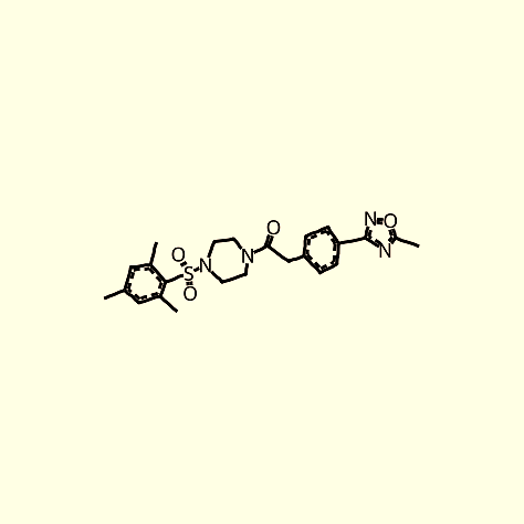 Cc1cc(C)c(S(=O)(=O)N2CCN(C(=O)Cc3ccc(-c4noc(C)n4)cc3)CC2)c(C)c1